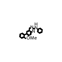 COc1cc2nc(Nc3ccccc3)ncc2cc1-c1ccccc1C